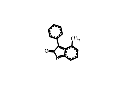 Cc1cccc2c1=C(c1ccccc1)C(=O)N=2